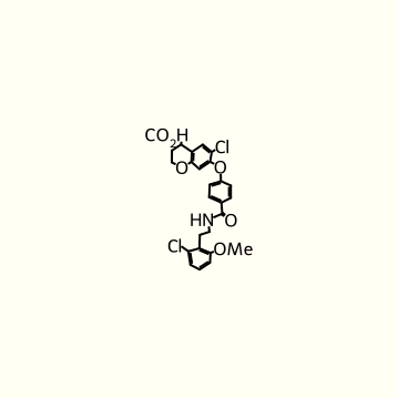 COc1cccc(Cl)c1CCNC(=O)c1ccc(Oc2cc3c(cc2Cl)C(C(=O)O)CCO3)cc1